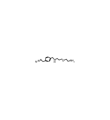 [N-]=[N+]=NCc1ccc(CNCCCOCCN)cc1